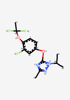 Cc1nc(Oc2ccc(OC(C)(F)F)c(F)c2)n(C(C)C)n1